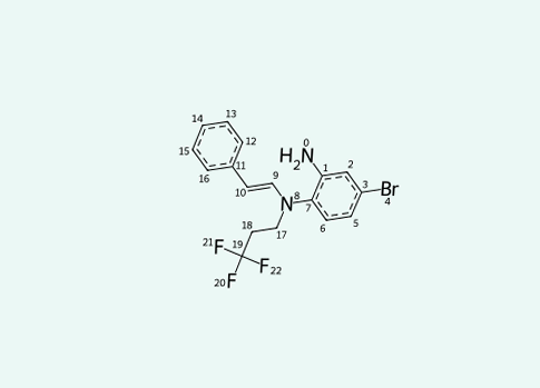 Nc1cc(Br)ccc1N(C=Cc1ccccc1)CCC(F)(F)F